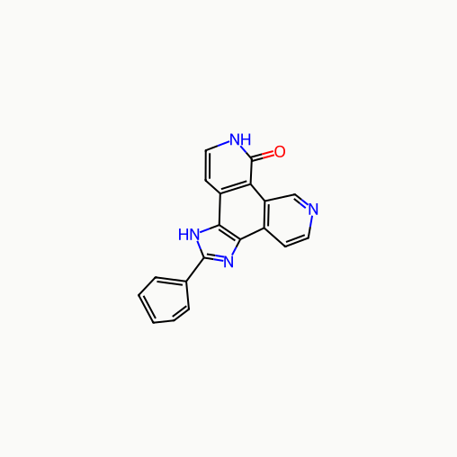 O=c1[nH]ccc2c3[nH]c(-c4ccccc4)nc3c3ccncc3c12